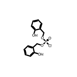 O=P(Cl)(OCc1ccccc1O)OCc1ccccc1O